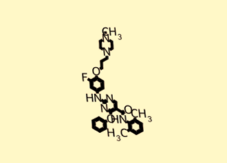 Cc1cccc(C)c1NC(=O)c1cnc(Nc2ccc(OCCCN3CCN(C)CC3)c(F)c2)nc1Oc1ccccc1